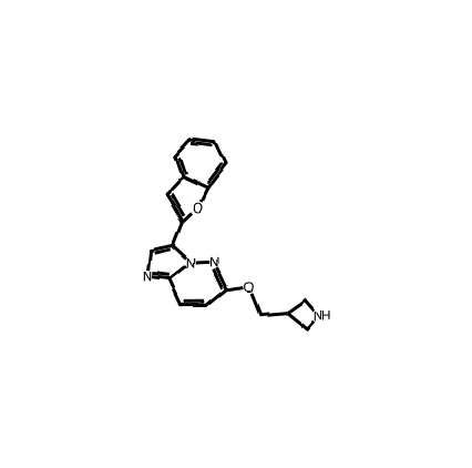 c1ccc2oc(-c3cnc4ccc(OCC5CNC5)nn34)cc2c1